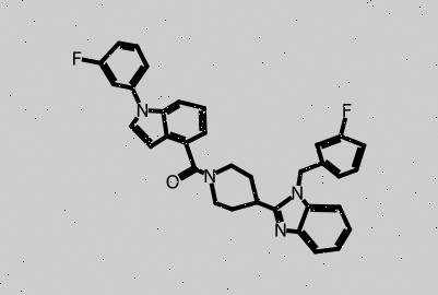 O=C(c1cccc2c1ccn2-c1cccc(F)c1)N1CCC(c2nc3ccccc3n2Cc2cccc(F)c2)CC1